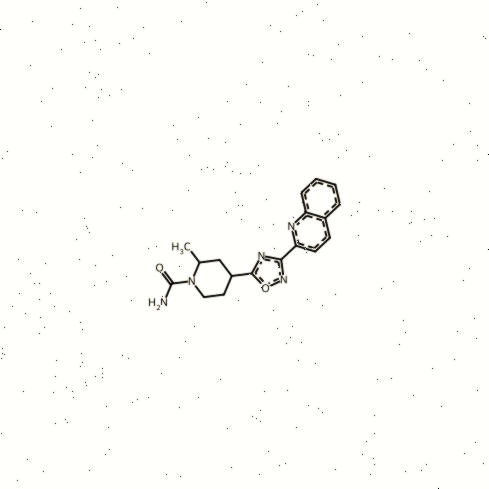 CC1CC(c2nc(-c3ccc4ccccc4n3)no2)CCN1C(N)=O